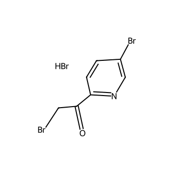 Br.O=C(CBr)c1ccc(Br)cn1